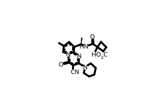 Cc1cc([C@@H](C)NC(=O)C2(C(=O)O)CCC2)c2nc(N3CCCCC3)c(C#N)c(=O)n2c1